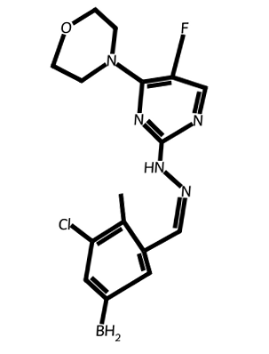 Bc1cc(Cl)c(C)c(/C=N\Nc2ncc(F)c(N3CCOCC3)n2)c1